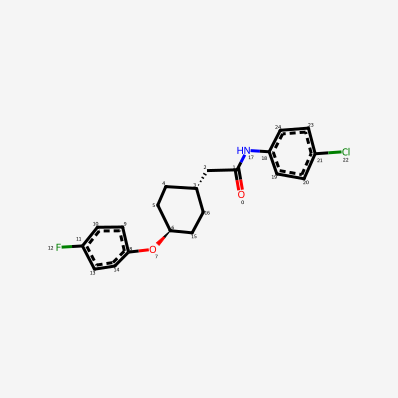 O=C(C[C@H]1CC[C@H](Oc2ccc(F)cc2)CC1)Nc1ccc(Cl)cc1